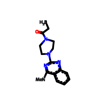 BCC(=O)N1CCN(c2nc(NC)c3ccccc3n2)CC1